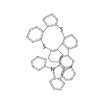 C1=C(c2ccccc2)CCC2=C1c1c(cccc1-c1ccc3c4ccccc4n(-c4ccccc4)c3c1)Sc1ccccc1-c1ccccc1S2